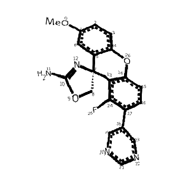 COc1ccc2c(c1)[C@@]1(COC(N)=N1)c1c(ccc(-c3cncnc3)c1F)O2